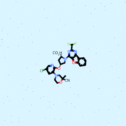 CC1(C#N)CN(c2cc(Cl)cnc2O[C@H]2C[C@@H](C(=O)O)N(c3nc(C(F)F)nc4c3oc3ccccc34)C2)CCO1